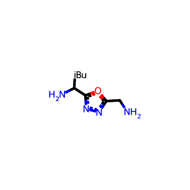 CCC(C)C(N)c1nnc(CN)o1